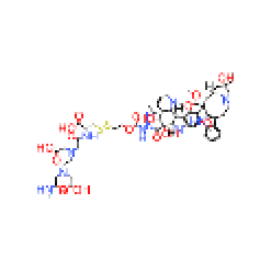 CC[C@]1(O)C[C@H]2CN(CCc3c([nH]c4ccccc34)[C@@](C(=O)OC)(c3cc4c(cc3OC)N(C)[C@H]3[C@](O)(C(=O)NNC(=O)OCCSSC[C@H](NC(=O)CN(CCN(CC(=O)O)CC(=O)NC)CC(=O)O)C(=O)O)[C@H](O)[C@]5(CC)C=CCN6CC[C@]43[C@@H]65)C2)C1